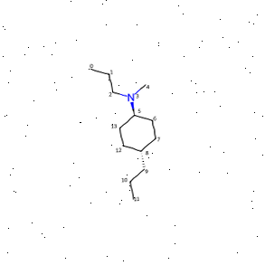 CCCN(C)[C@H]1CC[C@H](CCC)CC1